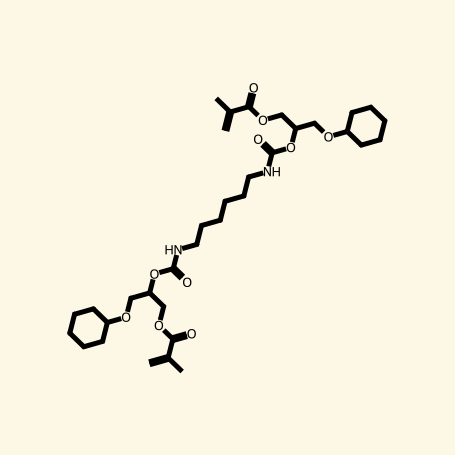 C=C(C)C(=O)OCC(COC1CCCCC1)OC(=O)NCCCCCCNC(=O)OC(COC(=O)C(=C)C)COC1CCCCC1